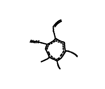 C=Cc1cc(C)c(C)c(C)c1NC